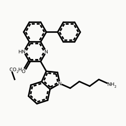 CC(=O)O.NCCCCn1cc(-c2nc3c(-c4ccccc4)cccc3[nH]c2=O)c2ccccc21